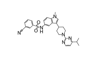 CC(C)c1ccnc(N2CCC(c3cn(C)c4ccc(NS(=O)(=O)c5cccc(C#N)c5)cc34)CC2)n1